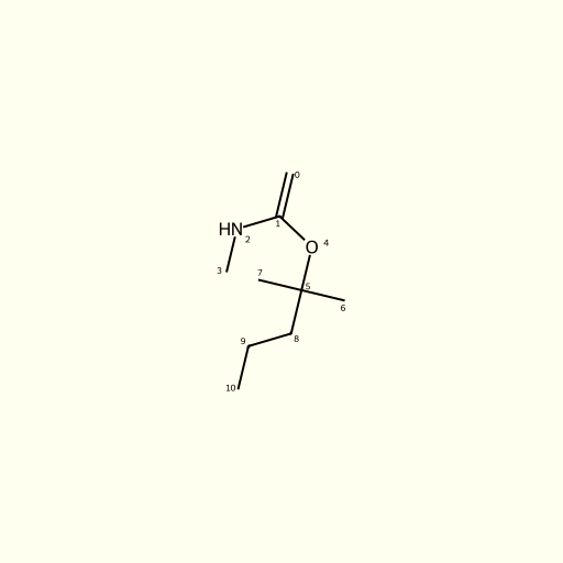 C=C(NC)OC(C)(C)CCC